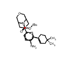 CC1(C)CC=C(c2nc(N3CC4COCC(C3)N4C(=O)OC(C)(C)C)ccc2N)CC1